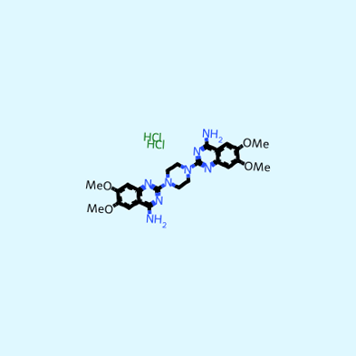 COc1cc2nc(N3CCN(c4nc(N)c5cc(OC)c(OC)cc5n4)CC3)nc(N)c2cc1OC.Cl.Cl